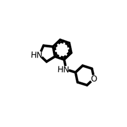 c1cc2c(c(NC3CCOCC3)c1)CNC2